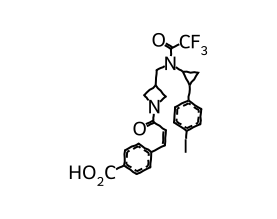 O=C(O)c1ccc(C=CC(=O)N2CC(CN(C(=O)C(F)(F)F)C3CC3c3ccc(I)cc3)C2)cc1